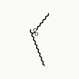 CCCCCCCCCCCCCCCCC(CC)C(=O)OCCCCCCCCCC